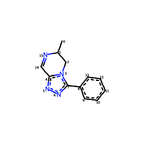 CC1Cn2c(nnc2-c2ccccc2)C=N1